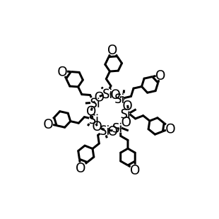 C[Si]1(CCC2CCC3OC3C2)O[Si](C)(CCC2CCC3OC3C2)O[Si](C)(CCC2CCC3OC3C2)O[Si](C)(CCC2CCC3OC3C2)O[Si](C)(CCC2CCC3OC3C2)O[Si](C)(CCC2CCC3OC3C2)O[Si](C)(CCC2CCC3OC3C2)O1